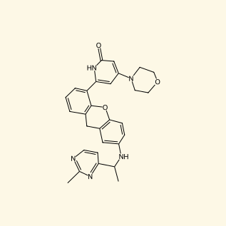 Cc1nccc(C(C)Nc2ccc3c(c2)Cc2cccc(-c4cc(N5CCOCC5)cc(=O)[nH]4)c2O3)n1